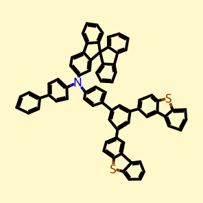 c1ccc(-c2ccc(N(c3ccc(-c4cc(-c5ccc6sc7ccccc7c6c5)cc(-c5ccc6sc7ccccc7c6c5)c4)cc3)c3ccc4c(c3)C3(c5ccccc5-c5ccccc53)c3ccccc3-4)cc2)cc1